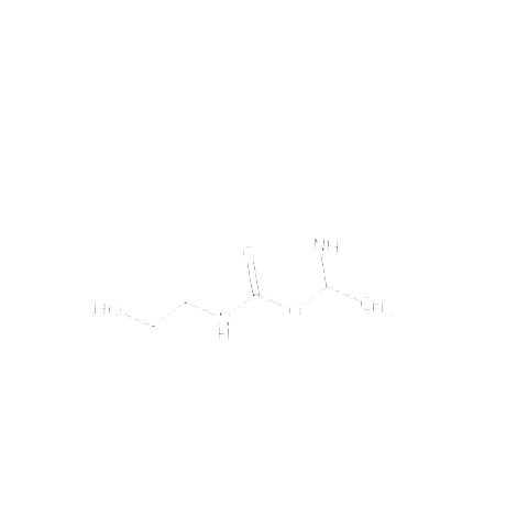 CC(N)OC(=O)NCCO